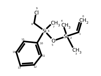 C=C[Si](C)(C)O[Si](C)(CCl)c1ccccc1